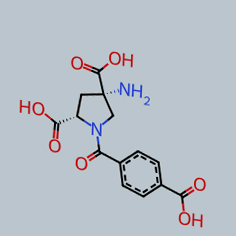 N[C@@]1(C(=O)O)C[C@@H](C(=O)O)N(C(=O)c2ccc(C(=O)O)cc2)C1